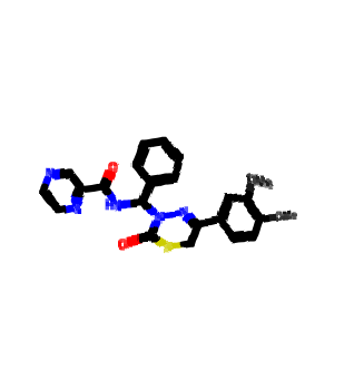 COc1ccc(C2=NN(C(NC(=O)c3cnccn3)c3ccccc3)C(=O)SC2)cc1OC